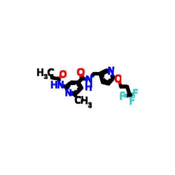 CCC(=O)Nc1cc(C(=O)NCc2ccc(OCCC(F)(F)F)nc2)cc(C)n1